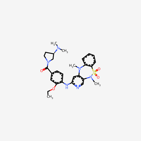 CCOc1cc(C(=O)N2CC[C@@H](N(C)C)C2)ccc1Nc1cc2c(cn1)N(C)S(=O)(=O)c1ccccc1N2C